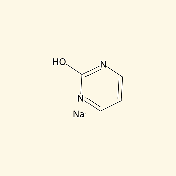 Oc1ncccn1.[Na]